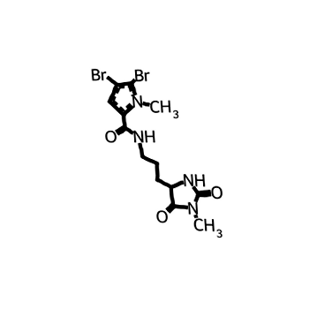 CN1C(=O)NC(CCCNC(=O)c2cc(Br)c(Br)n2C)C1=O